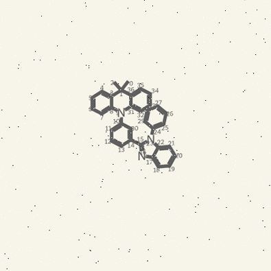 CC1(C)c2ccccc2N(c2cccc(-c3nc4ccccc4n3-c3ccccc3)c2)c2ccccc21